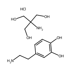 Cl.NC(CO)(CO)CO.NCCc1ccc(O)c(O)c1